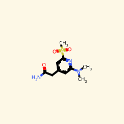 CN(C)c1cc([CH]C(N)=O)cc(S(C)(=O)=O)n1